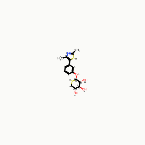 Cc1nc(C)c(-c2cccc(O[C@@H]3SC[C@@H](O)[C@H](O)[C@H]3O)c2)s1